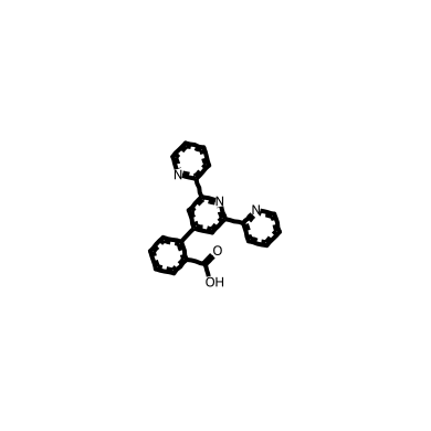 O=C(O)c1ccccc1-c1cc(-c2ccccn2)nc(-c2ccccn2)c1